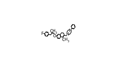 CC1=C(CN2CCN(c3ccccc3)CC2)CCc2cc(OC[C@H](C)Cc3ccc(F)cc3)ccc21